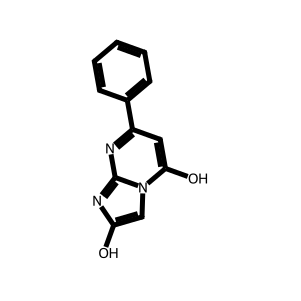 Oc1cn2c(O)cc(-c3ccccc3)nc2n1